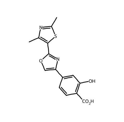 Cc1nc(C)c(-c2nc(-c3ccc(C(=O)O)c(O)c3)co2)s1